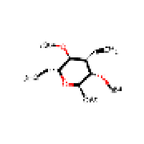 C=C[C@@H]1[C@H](OCCCC)[C@@H](OC(C)=O)O[C@H](COC(C)=O)[C@H]1OCCCC